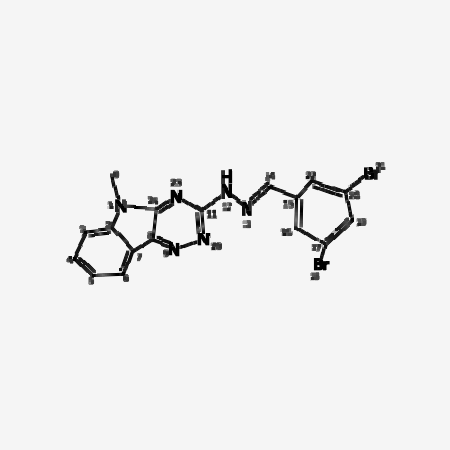 Cn1c2ccccc2c2nnc(NN=Cc3cc(Br)cc(Br)c3)nc21